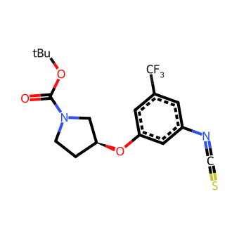 CC(C)(C)OC(=O)N1CC[C@H](Oc2cc(N=C=S)cc(C(F)(F)F)c2)C1